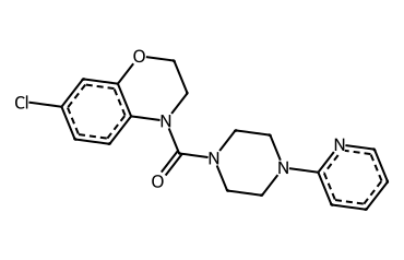 O=C(N1CCN(c2ccccn2)CC1)N1CCOc2cc(Cl)ccc21